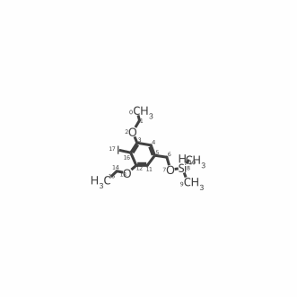 CCOc1cc(CO[SiH](C)C)cc(OCC)c1I